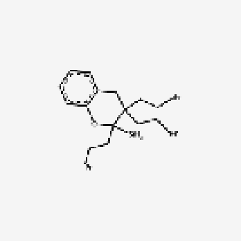 CC(C)CCC1(CCC(C)C)Cc2ccccc2OC1([SiH3])CCC(C)C